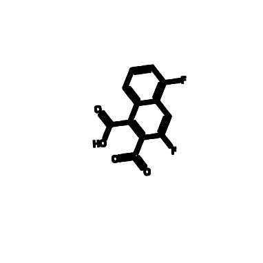 O=C(O)c1c(I(=O)=O)c(F)cc2c(F)cccc12